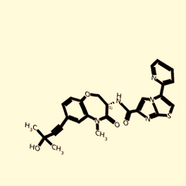 CN1C(=O)[C@@H](NC(=O)c2cn3c(-c4ccccn4)csc3n2)COc2ccc(C#CC(C)(C)O)cc21